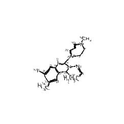 C/C=N\N1C(N2CCN(C)CC2)=Nc2cc(F)c(C)cc2C1C